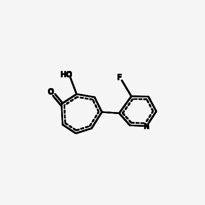 O=c1cccc(-c2cnccc2F)cc1O